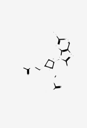 CC(=O)OC[C@H]1C[C@@H](n2c(Cl)nc3cnc(N)nc32)[C@@H]1COC(C)=O